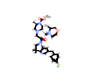 CCC1COCCN1C[C@H]1CN(C(=O)OC(C)(C)C)[C@H](C)CN1CC(=O)N1CC(C)(C)c2ncc(Cc3ccc(F)cc3)cc21